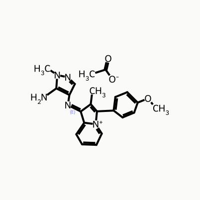 CC(=O)[O-].COc1ccc(C2=C(C)/C(=N\c3cnn(C)c3N)c3cccc[n+]32)cc1